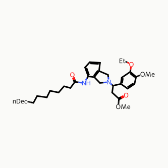 CCCCCCCCCCCCCCCCCC(=O)Nc1cccc2c1CN(C(CC(=O)OC)c1ccc(OC)c(OCC)c1)C2